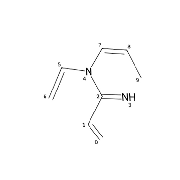 C=CC(=N)N(C=C)/C=C\C